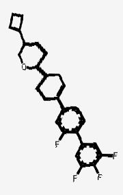 Fc1cc(C2=CCC(C3CCC(C4CCC4)CO3)CC2)ccc1-c1cc(F)c(F)c(F)c1